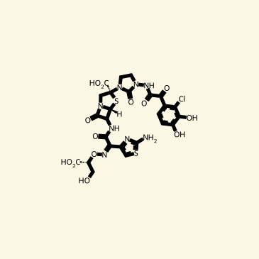 Nc1nc(/C(=N/O[C@H](CO)C(=O)O)C(=O)NC2C(=O)N3C[C@@](C(=O)O)(N4CCN(NC(=O)C(=O)c5ccc(O)c(O)c5Cl)C4=O)S[C@H]23)cs1